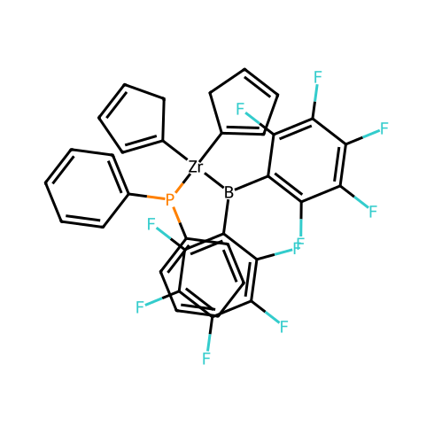 Fc1c(F)c(F)c([B](c2c(F)c(F)c(F)c(F)c2F)[Zr]([C]2=CC=CC2)([C]2=CC=CC2)[P](c2ccccc2)c2ccccc2)c(F)c1F